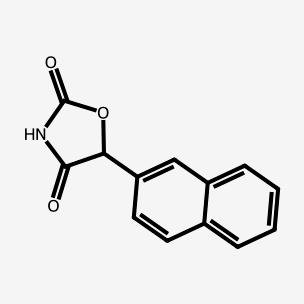 O=C1NC(=O)C(c2ccc3ccccc3c2)O1